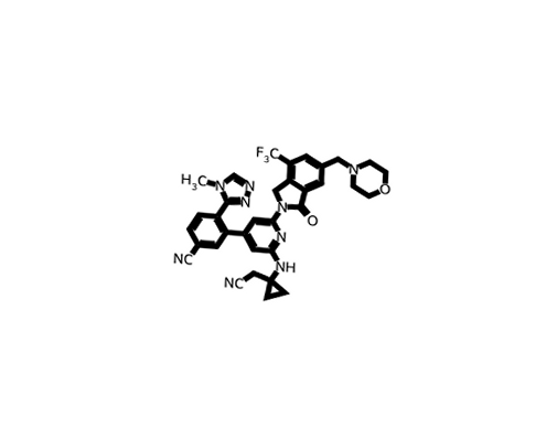 Cn1cnnc1-c1ccc(C#N)cc1-c1cc(NC2(CC#N)CC2)nc(N2Cc3c(cc(CN4CCOCC4)cc3C(F)(F)F)C2=O)c1